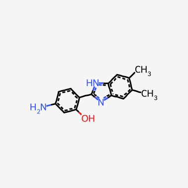 Cc1cc2nc(-c3ccc(N)cc3O)[nH]c2cc1C